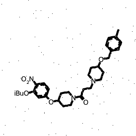 Cc1ccc(COC2CCN(CCC(=O)N3CCC(Oc4ccc([N+](=O)[O-])c(OCC(C)C)c4)CC3)CC2)cc1